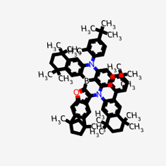 Cc1cc(C(C)(C)C)ccc1N1c2cc3c(cc2B2c4oc5cc6c(cc5c4N(c4cc5c(cc4-c4ccccc4)C(C)(C)CCC5(C)C)c4cc(C(C)(C)C)cc1c42)C1(C)CCC6(C)C1)C(C)(C)CCC3(C)C